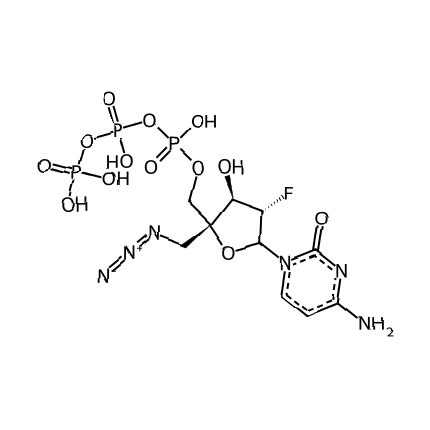 [N-]=[N+]=NC[C@]1(COP(=O)(O)OP(=O)(O)OP(=O)(O)O)OC(n2ccc(N)nc2=O)[C@@H](F)[C@@H]1O